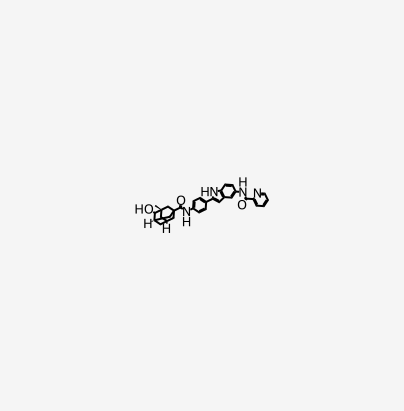 C[C@]12C[C@H]3C[C@H](CC(C(=O)Nc4ccc(-c5cc6cc(NC(=O)c7ccccn7)ccc6[nH]5)cc4)(C3)C1)C2O